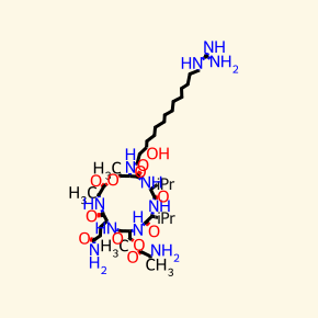 CC(N)C(=O)OC(C)C1NC(=O)C(C(C)C)NC(=O)C(C(C)C)NC(=O)C(NC(=O)CC(O)CCCCCCCCCCCCNC(=N)N)C(C)OC(=O)C(C)NC(=O)C(CCC(N)=O)NC1=O